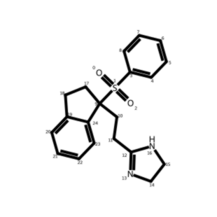 O=S(=O)(c1ccccc1)C1(CCC2=NCCN2)CCc2ccccc21